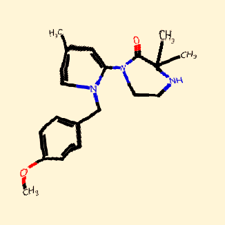 COc1ccc(Cn2cc(C)cc2N2CCNC(C)(C)C2=O)cc1